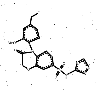 COc1cc(CF)ccc1N1C(=O)COc2cc(S(=O)(=O)Nc3ncns3)ccc21